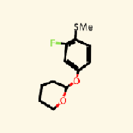 CSc1ccc(OC2CCCCO2)cc1F